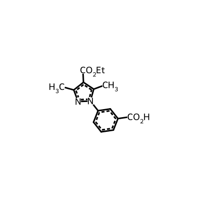 CCOC(=O)c1c(C)nn(-c2cccc(C(=O)O)c2)c1C